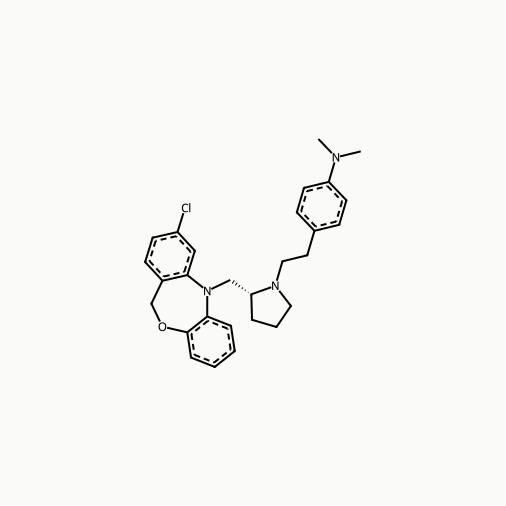 CN(C)c1ccc(CCN2CCC[C@@H]2CN2c3cc(Cl)ccc3COc3ccccc32)cc1